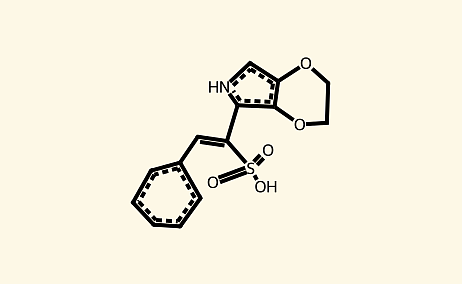 O=S(=O)(O)C(=Cc1ccccc1)c1[nH]cc2c1OCCO2